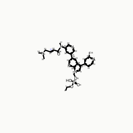 CCOP(=O)(O)OCn1cc(-c2ccnc(F)c2)c2cc(-c3cncc(N(C)C(=O)/C=C/CN(C)C)c3)cnc21